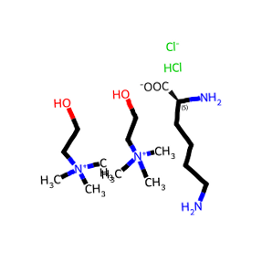 C[N+](C)(C)CCO.C[N+](C)(C)CCO.Cl.NCCCC[C@H](N)C(=O)[O-].[Cl-]